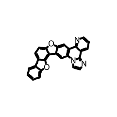 c1ccc2c(c1)oc1c2ccc2oc3cc4c5ncccc5c5nccn5c4cc3c21